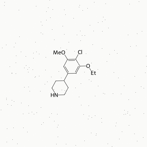 CCOc1cc(C2CCNCC2)cc(OC)c1Cl